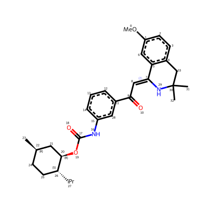 COc1ccc2c(c1)/C(=C/C(=O)c1cccc(NC(=O)O[C@@H]3C[C@H](C)CC[C@H]3C(C)C)c1)NC(C)(C)C2